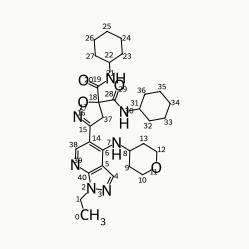 CCn1ncc2c(NC3CCOCC3)c(C3=NOC(C(=O)NC4CCCCC4)(C(=O)NC4CCCCC4)C3)cnc21